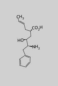 C/C=C/C[C@H](C[C@H](O)[C@@H](N)Cc1ccccc1)C(=O)O